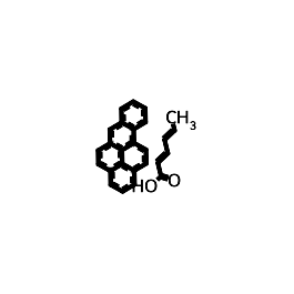 C/C=C/C=C/C(=O)O.c1ccc2c(c1)cc1ccc3cccc4ccc2c1c34